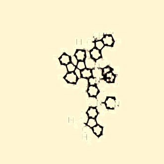 CC1(C)c2ccccc2-c2cc(N(c3ccncc3)c3ccc4c5cc6c(c(N(c7ccncc7)c7ccc8c(c7)-c7ccccc7C8(C)C)c5n(-c5ccccc5)c4c3)-c3ccccc3C63c4ccccc4-c4ccccc43)ccc21